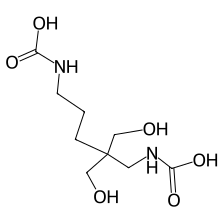 O=C(O)NCCCC(CO)(CO)CNC(=O)O